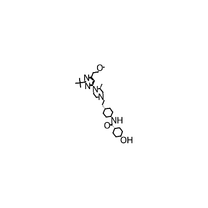 COCCc1cc(N2CCN(CC[C@H]3CC[C@H](NC(=O)[C@H]4CC[C@@H](O)CC4)CC3)C[C@@H]2C)nc(C(C)(C)C)n1